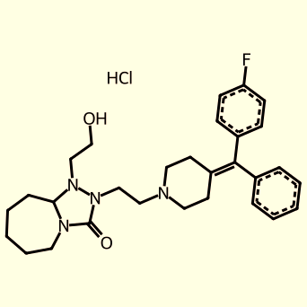 Cl.O=C1N2CCCCCC2N(CCO)N1CCN1CCC(=C(c2ccccc2)c2ccc(F)cc2)CC1